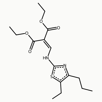 CCCc1nc(NC=C(C(=O)OCC)C(=O)OCC)sc1CC